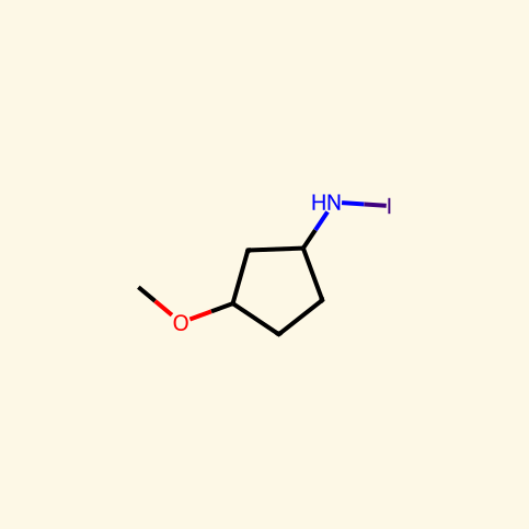 COC1CCC(NI)C1